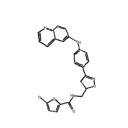 O=C(NCC1CC(c2ccc(Nc3ccc4ncccc4c3)cc2)=NO1)c1ccc(Cl)s1